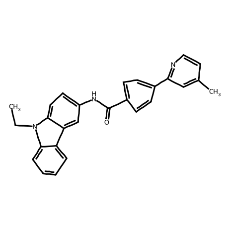 CCn1c2ccccc2c2cc(NC(=O)c3ccc(-c4cc(C)ccn4)cc3)ccc21